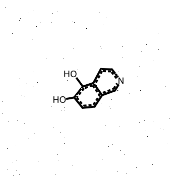 Oc1ccc2[c]nccc2c1O